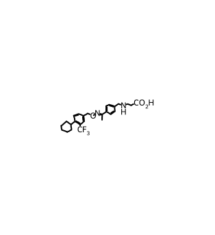 C/C(=N\OCc1ccc(C2CCCCC2)c(C(F)(F)F)c1)c1ccc(CNCCC(=O)O)cc1